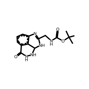 CC(C)(C)OC(=O)NCC1=Nc2cccc3c2C(NNC3=O)N1